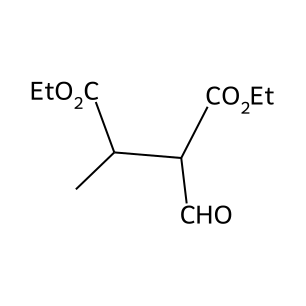 CCOC(=O)C(C)C(C=O)C(=O)OCC